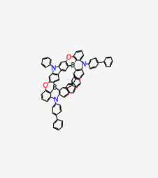 c1ccc(-c2ccc(N3c4ccc(-c5ccccc5)cc4B4c5cc6c7cc8c(cc7n(-c7ccccc7)c6cc5Oc5cccc3c54)Oc3cccc4c3B8c3cc(-c5ccccc5)ccc3N4c3ccc(-c4ccccc4)cc3)cc2)cc1